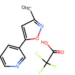 O=C(O)C(F)(F)F.O=Cc1cc(-c2cccnc2)on1